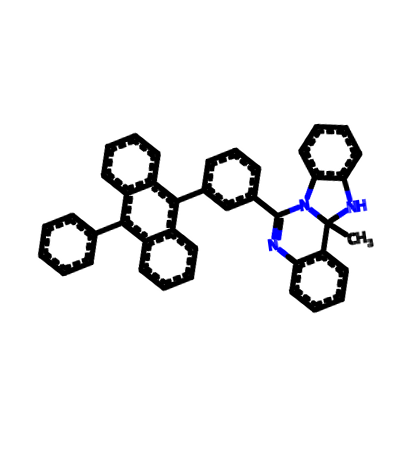 CC12Nc3ccccc3N1C(c1cccc(-c3c4ccccc4c(-c4ccccc4)c4ccccc34)c1)=Nc1ccccc12